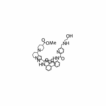 COC(=O)C1CCN(C2CCCn3nc(C(=O)Nc4cccc(-c5cccc(NC(=O)c6ccc(CNCCO)cn6)c5C)c4C)cc32)CC1